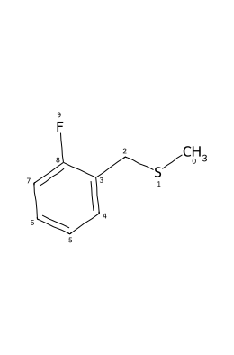 CSCc1ccccc1F